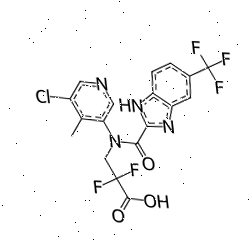 Cc1c(Cl)cncc1N(CC(F)(F)C(=O)O)C(=O)c1nc2cc(C(F)(F)F)ccc2[nH]1